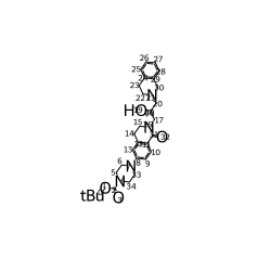 CC(C)(C)OC(=O)N1CCN(c2ccc3c(c2)CCN(C[C@H](O)CN2CCc4ccccc4C2)C3=O)CC1